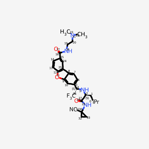 CC(C)C[C@H](N[C@@H](c1ccc2c(c1)oc1ccc(C(=O)NCCN(C)C)cc12)C(F)(F)F)C(=O)NC1(C#N)CC1